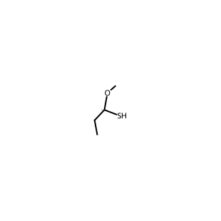 CC[C](S)OC